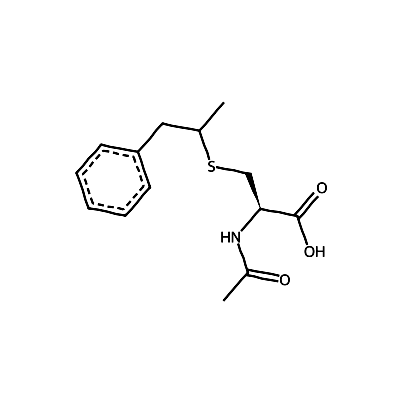 CC(=O)N[C@@H](CSC(C)Cc1ccccc1)C(=O)O